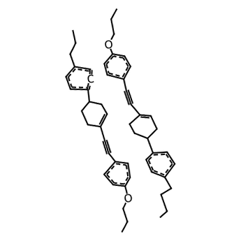 CCCCc1ccc(C2CC=C(C#Cc3ccc(OCCC)cc3)CC2)cc1.CCCOc1ccc(C#CC2=CCC(c3ccc(CCC)cc3)CC2)cc1